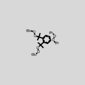 CC(C)(C)OOC(C)(C)c1ccccc1C(C)(C)OOC(C)(C)C.CC(C)OOC(C)C